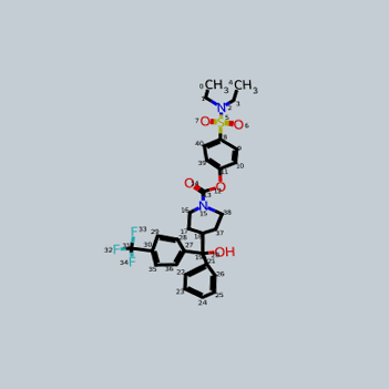 CCN(CC)S(=O)(=O)c1ccc(OC(=O)N2CCC(C(O)(c3ccccc3)c3ccc(C(F)(F)F)cc3)CC2)cc1